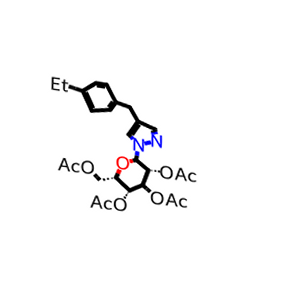 CCc1ccc(Cc2cnn(C3O[C@@H](COC(C)=O)[C@@H](OC(C)=O)C(OC(C)=O)[C@H]3OC(C)=O)c2)cc1